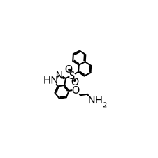 NCCOc1cccc2[nH]nc(S(=O)(=O)c3cccc4ccccc34)c12